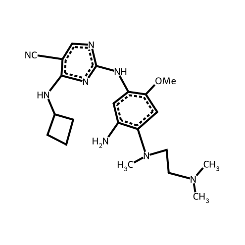 COc1cc(N(C)CCN(C)C)c(N)cc1Nc1ncc(C#N)c(NC2CCC2)n1